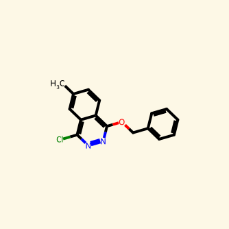 Cc1ccc2c(OCc3ccccc3)nnc(Cl)c2c1